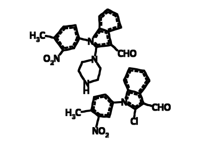 Cc1ccc(-n2c(Cl)c(C=O)c3ccccc32)cc1[N+](=O)[O-].Cc1ccc(-n2c(N3CCNCC3)c(C=O)c3ccccc32)cc1[N+](=O)[O-]